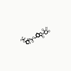 O=C1CCC(N2Cc3ccc(COC(=O)Nc4cc(OC(F)(F)F)ccn4)cc3C2=O)C(=O)N1